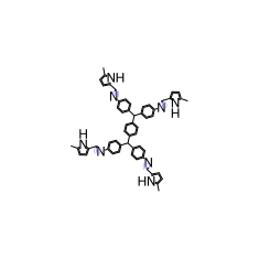 Cc1ccc(/C=N/c2ccc(C(c3ccc(/N=C/c4ccc(C)[nH]4)cc3)c3ccc(C(c4ccc(/N=C/c5ccc(C)[nH]5)cc4)c4ccc(/N=C/c5ccc(C)[nH]5)cc4)cc3)cc2)[nH]1